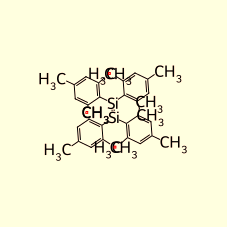 Cc1cc(C)c([Si](c2c(C)cc(C)cc2C)=[Si](c2c(C)cc(C)cc2C)c2c(C)cc(C)cc2C)c(C)c1